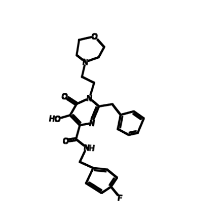 O=C(NCc1ccc(F)cc1)c1nc(Cc2ccccc2)n(CCN2CCOCC2)c(=O)c1O